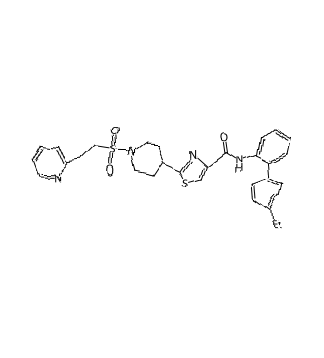 CCc1ccc(-c2ccccc2NC(=O)c2csc(C3CCN(S(=O)(=O)CCc4ccccn4)CC3)n2)cc1